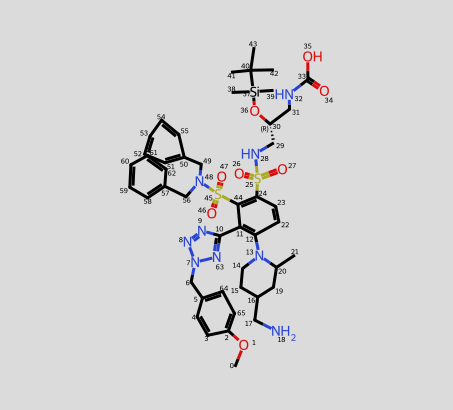 COc1ccc(Cn2nnc(-c3c(N4CCC(CN)CC4C)ccc(S(=O)(=O)NC[C@@H](CNC(=O)O)O[Si](C)(C)C(C)(C)C)c3S(=O)(=O)N(Cc3ccccc3)Cc3ccccc3)n2)cc1